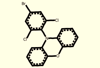 Clc1cc(Br)cc(Cl)c1N1c2ccccc2Oc2ccccc21